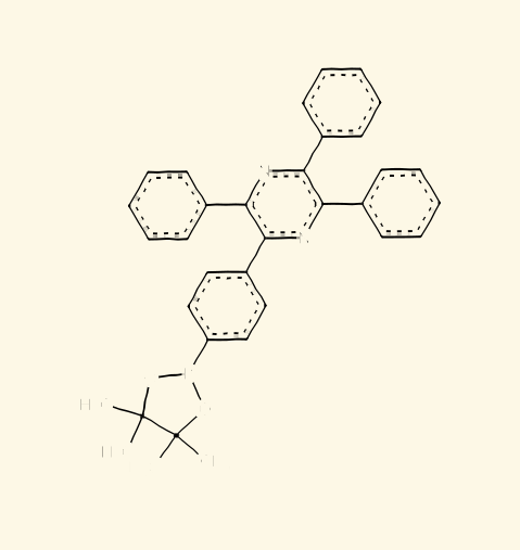 CC1(C)OB(c2ccc(-c3nc(-c4ccccc4)c(-c4ccccc4)nc3-c3ccccc3)cc2)OC1(C)C